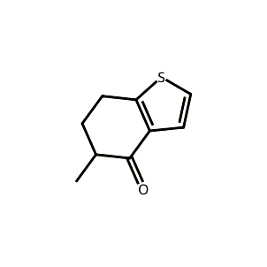 CC1CCc2sccc2C1=O